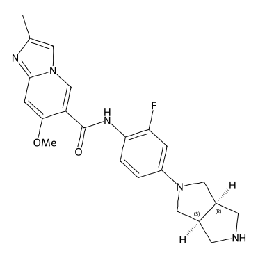 COc1cc2nc(C)cn2cc1C(=O)Nc1ccc(N2C[C@H]3CNC[C@H]3C2)cc1F